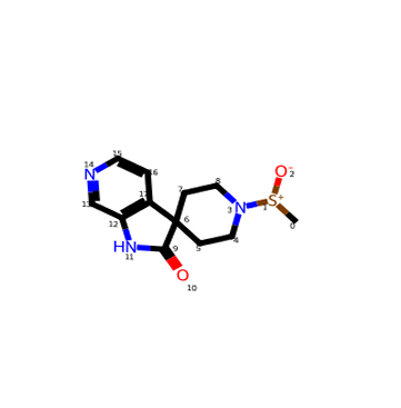 C[S+]([O-])N1CCC2(CC1)C(=O)Nc1cnccc12